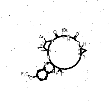 CC(=O)[C@@H]1[C@H](C)[C@@H]2CN1C(=O)[C@H](C(C)(C)C)NC(=O)O[C@@H]1C[C@H]1CCCCC(F)(F)c1nc3ccc(OC(F)(F)F)cc3nc1O2